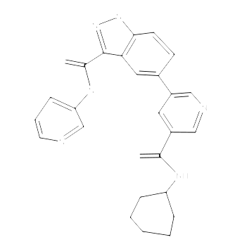 C=C(NC1CCCCC1)c1cncc(-c2ccc3[nH]nc(C(=C)Nc4cccnc4)c3c2)c1